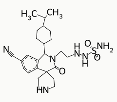 CC(C)C1CCC(C2c3cc(C#N)ccc3C3(CCNCC3)C(=O)N2CCNNS(N)(=O)=O)CC1